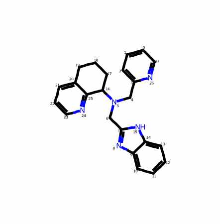 c1ccc(CN(Cc2nc3ccccc3[nH]2)C2CCCc3cccnc32)nc1